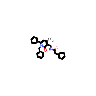 O=C(Cc1ccccc1)NCc1c(C(F)(F)F)cc(-c2ccccc2)n(Cc2ccccc2)c1=O